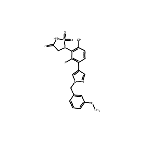 COc1cccc(Cn2cc(-c3ccc(O)c(N4CC(=O)NS4(=O)=O)c3F)cn2)c1